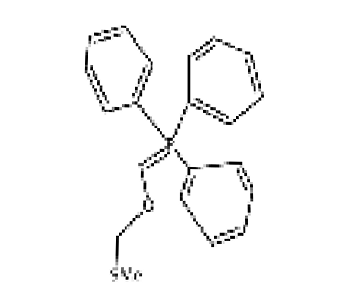 CSCOC=P(c1ccccc1)(c1ccccc1)c1ccccc1